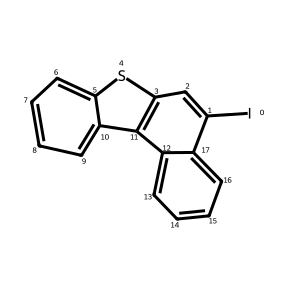 Ic1cc2sc3ccccc3c2c2ccccc12